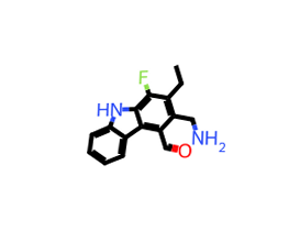 CCc1c(CN)c(C=O)c2c([nH]c3ccccc32)c1F